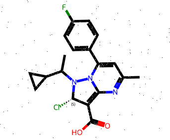 CC1=NC2=C(C(=O)O)[C@H](Cl)N(C(C)C3CC3)N2C(c2ccc(F)cc2)=C1